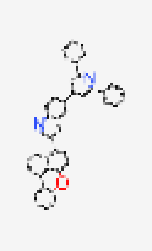 c1ccc(-c2cc(-c3ccc4ncc(-c5ccc6c7c(cccc57)-c5ccccc5O6)cc4c3)cc(-c3ccccc3)n2)cc1